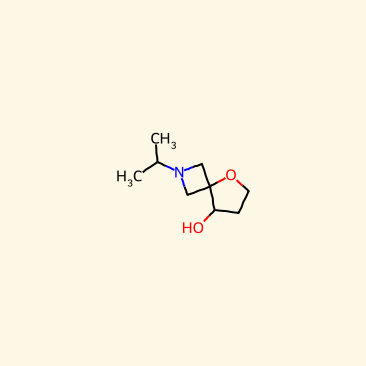 CC(C)N1CC2(C1)OCCC2O